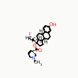 C#C[C@]1(OC(=O)[C+]2C=CCN(C)C2)CC[C@H]2[C@@H]3CCc4cc(O)ccc4[C@H]3CC[C@@]21C.[I-]